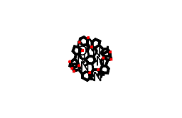 Cc1ccc2c3ccc(C)cc3n(-c3c(-c4cc(C)nc(C)c4)c(-n4c5cc(C)ccc5c5ccc(C)cc54)c(-n4c5cc(C)ccc5c5ccc(C)cc54)c(-c4nc5ccccc5o4)c3-n3c4cc(C)ccc4c4ccc(C)cc43)c2c1